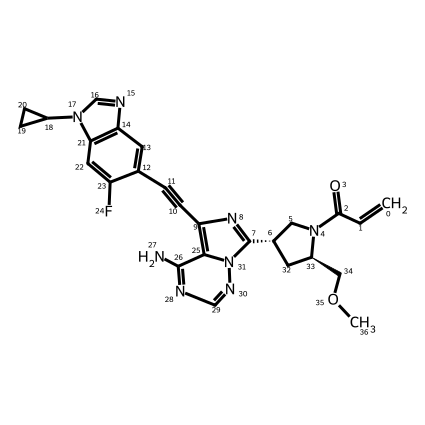 C=CC(=O)N1C[C@@H](c2nc(C#Cc3cc4ncn(C5CC5)c4cc3F)c3c(N)ncnn23)C[C@@H]1COC